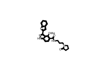 COc1c(C(=O)NCCCN2CCCC2=O)ccc2[nH]nc(-c3cc4ccccc4s3)c12